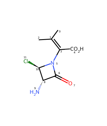 CC(C)=C(C(=O)O)N1C(=O)[C@H](N)[C@H]1Cl